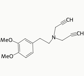 C#CCN(CC#C)CCc1ccc(OC)c(OC)c1